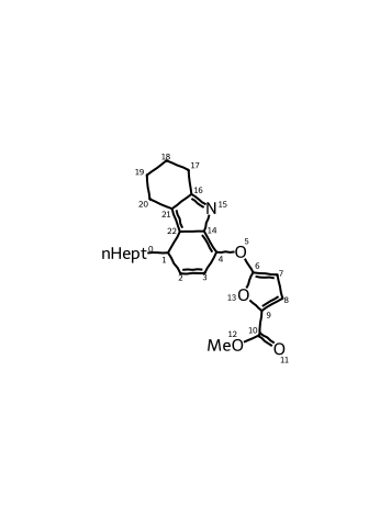 CCCCCCCC1C=CC(Oc2ccc(C(=O)OC)o2)=C2N=C3CCCCC3=C21